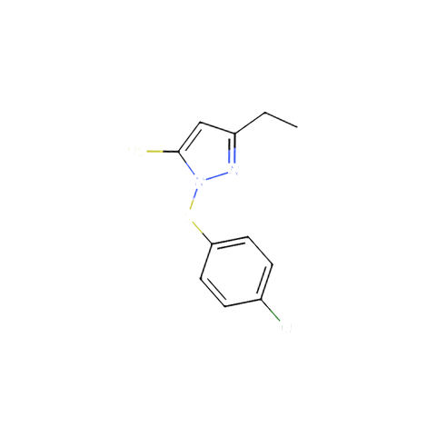 CCc1cc(S)n(Sc2ccc(Cl)cc2)n1